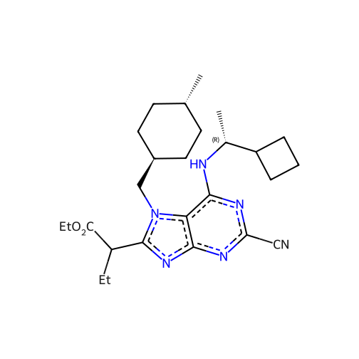 CCOC(=O)C(CC)c1nc2nc(C#N)nc(N[C@H](C)C3CCC3)c2n1C[C@H]1CC[C@H](C)CC1